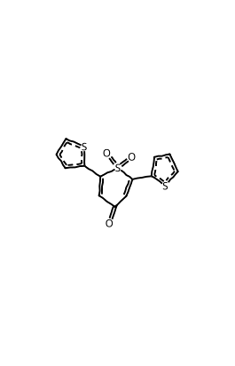 O=C1C=C(c2cccs2)S(=O)(=O)C(c2cccs2)=C1